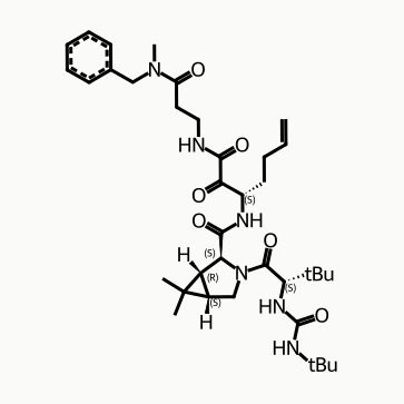 C=CCC[C@H](NC(=O)[C@@H]1[C@@H]2[C@H](CN1C(=O)[C@@H](NC(=O)NC(C)(C)C)C(C)(C)C)C2(C)C)C(=O)C(=O)NCCC(=O)N(C)Cc1ccccc1